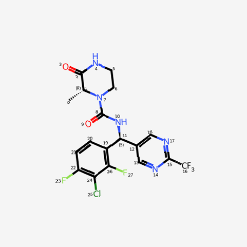 C[C@@H]1C(=O)NCCN1C(=O)N[C@@H](c1cnc(C(F)(F)F)nc1)c1ccc(F)c(Cl)c1F